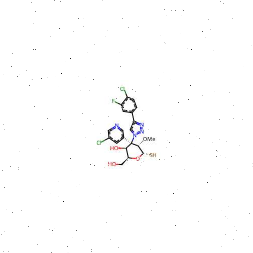 CO[C@@H]1[C@H](S)O[C@@H](CO)[C@@H](O)[C@@]1(c1cncc(Cl)c1)n1cc(-c2ccc(Cl)c(F)c2)nn1